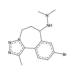 Cc1nnn2c1-c1ccc(Br)cc1C(NN(C)C)CC2